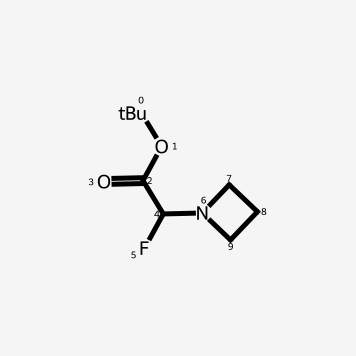 CC(C)(C)OC(=O)C(F)N1CCC1